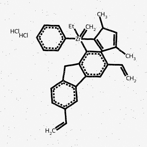 C=Cc1ccc2c(c1)-c1cc(C=C)c[c]([Zr](=[CH2])([CH2]C)([C]3=CC(C)=CC3C)[c]3ccccc3)c1C2.Cl.Cl